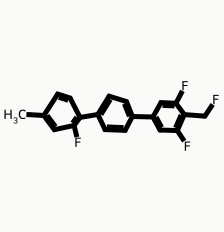 Cc1ccc(-c2ccc(-c3cc(F)c(CF)c(F)c3)cc2)c(F)c1